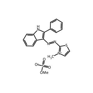 COS(=O)(=O)[O-].C[n+]1ccsc1N=Nc1c(-c2ccccc2)[nH]c2ccccc12